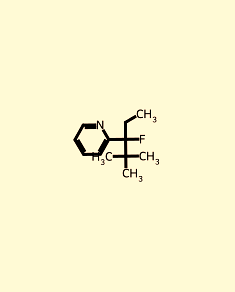 CCC(F)(c1ccccn1)C(C)(C)C